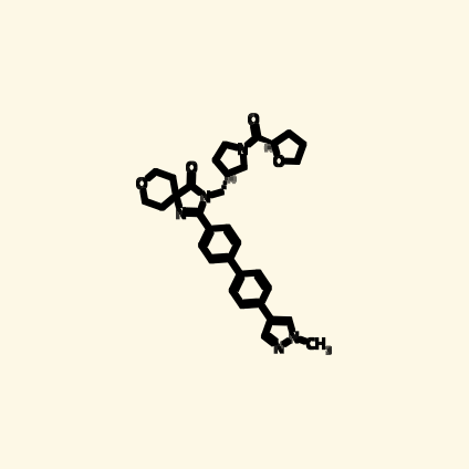 Cn1cc(-c2ccc(-c3ccc(C4=NC5(CCOCC5)C(=O)N4C[C@@H]4CCN(C(=O)[C@H]5CCCO5)C4)cc3)cc2)cn1